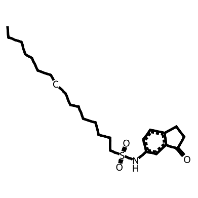 CCCCCCCCCCCCCCCCS(=O)(=O)Nc1ccc2c(c1)C(=O)CC2